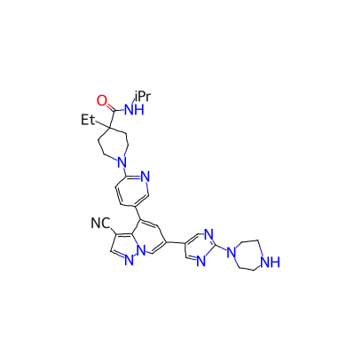 CCC1(C(=O)NC(C)C)CCN(c2ccc(-c3cc(-c4cnc(N5CCNCC5)nc4)cn4ncc(C#N)c34)cn2)CC1